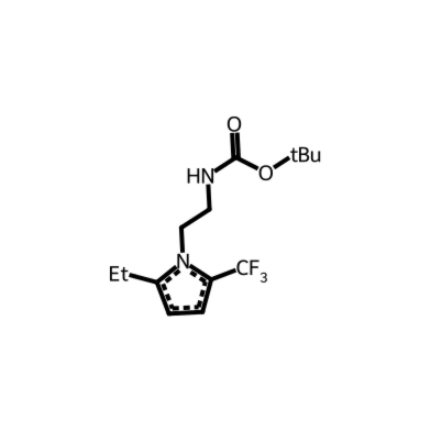 CCc1ccc(C(F)(F)F)n1CCNC(=O)OC(C)(C)C